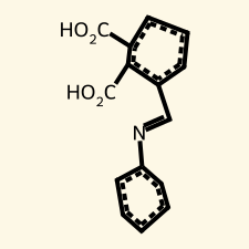 O=C(O)c1cccc(C=Nc2ccccc2)c1C(=O)O